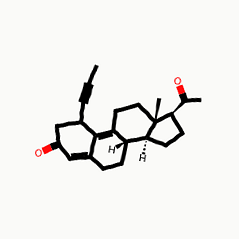 CC#CC1CC(=O)C=C2CC[C@@H]3C(=C21)CC[C@]1(C)[C@@H](C(C)=O)CC[C@@H]31